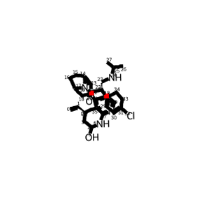 C=C[C@@H]1CC(O)Nc2ncnc(N3C=C4CCC(C3)N4C(=O)[C@H](CNC(C)C)C3=CC=C(Cl)CC3)c21